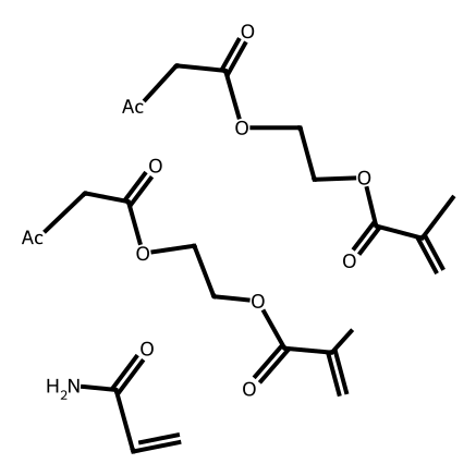 C=C(C)C(=O)OCCOC(=O)CC(C)=O.C=C(C)C(=O)OCCOC(=O)CC(C)=O.C=CC(N)=O